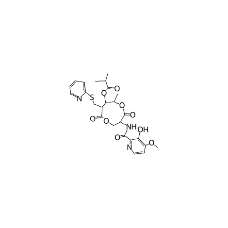 COc1ccnc(C(=O)NC2COC(=O)C(CSc3ccccn3)C(OC(=O)C(C)C)C(C)OC2=O)c1O